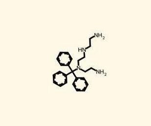 NCCNCCN(CCN)C(c1ccccc1)(c1ccccc1)c1ccccc1